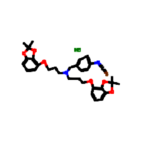 CC1(C)Oc2cccc(OCCCN(CCCOc3cccc4c3OC(C)(C)O4)Cc3ccc(N=C=S)cc3)c2O1.Cl